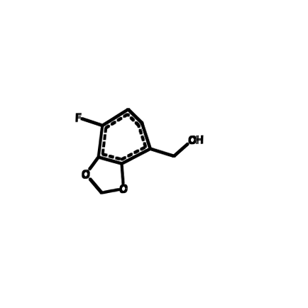 OCc1ccc(F)c2c1OCO2